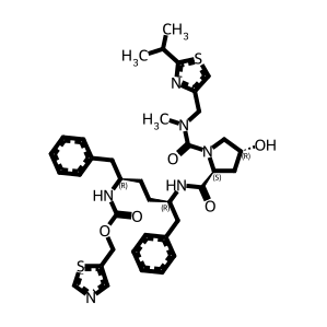 CC(C)c1nc(CN(C)C(=O)N2C[C@H](O)C[C@H]2C(=O)N[C@H](CC[C@H](Cc2ccccc2)NC(=O)OCc2cncs2)Cc2ccccc2)cs1